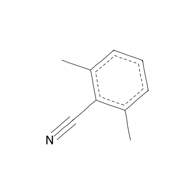 Cc1cccc(C)c1C#N